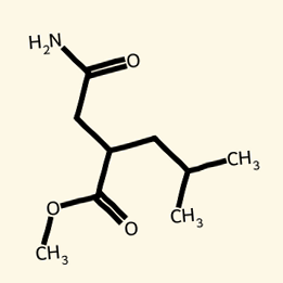 COC(=O)C(CC(N)=O)CC(C)C